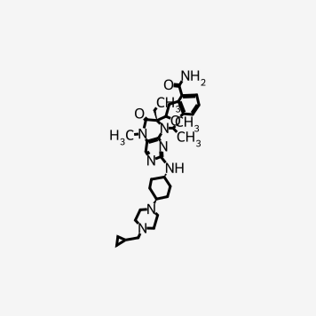 CC[C@]1(C2Cc3c(cccc3C(N)=O)O2)C(=O)N(C)c2cnc(N[C@H]3CC[C@H](N4CCN(CC5CC5)CC4)CC3)nc2N1C(C)C